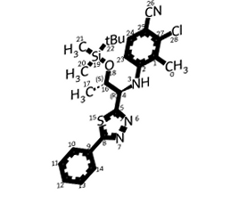 Cc1c(N[C@@H](c2nnc(-c3ccccc3)s2)[C@H](C)O[Si](C)(C)C(C)(C)C)ccc(C#N)c1Cl